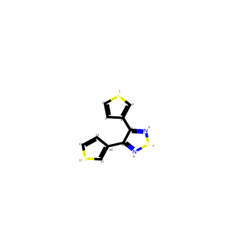 [c]1sccc1-c1nsnc1-c1[c]scc1